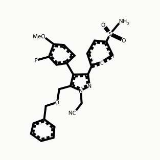 COc1ccc(-c2c(-c3ccc(S(N)(=O)=O)cc3)nn(CC#N)c2COCc2ccccc2)cc1F